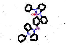 O=P1(c2ccc(PN(c3ccccc3)c3ccccc3NC3=CCCC=C3)cc2)N(c2ccccc2)c2ccccc2N1c1ccccc1